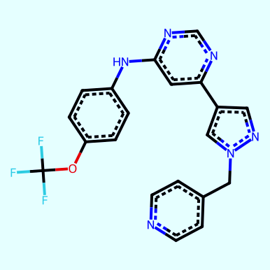 FC(F)(F)Oc1ccc(Nc2cc(-c3cnn(Cc4ccncc4)c3)ncn2)cc1